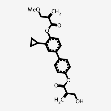 C=C(CO)C(=O)Oc1ccc(-c2ccc(OC(=O)C(=C)COC)c(C3CC3)c2)cc1